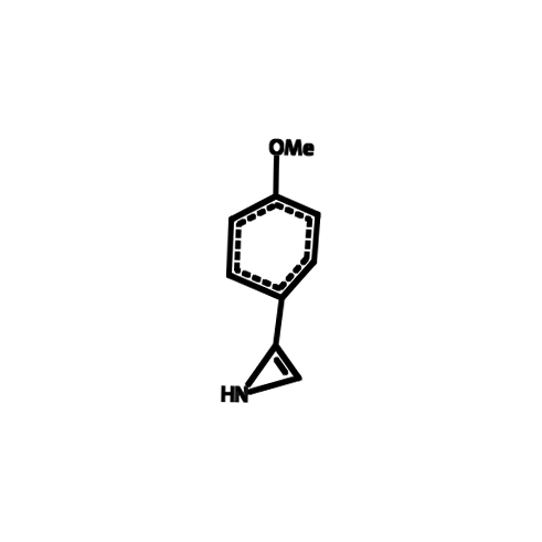 COc1ccc(C2=CN2)cc1